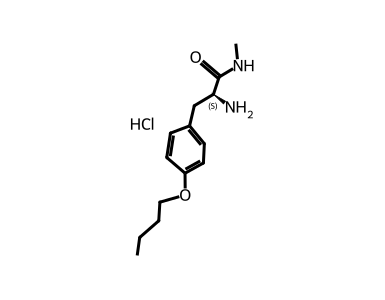 CCCCOc1ccc(C[C@H](N)C(=O)NC)cc1.Cl